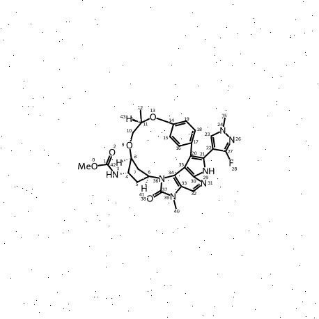 COC(=O)N[C@H]1C[C@H]2C[C@@H]1OC[C@H](C)Oc1ccc(cc1)-c1c(-c3cn(C)nc3F)[nH]c3ncc4c(c13)n2c(=O)n4C